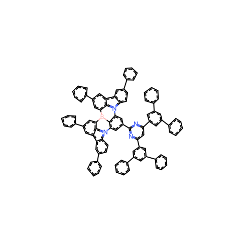 c1ccc(-c2cc(-c3ccccc3)cc(-c3cc(-c4cc(-c5ccccc5)cc(-c5ccccc5)c4)nc(-c4cc5c6c(c4)-n4c7ccc(-c8ccccc8)cc7c7cc(-c8ccccc8)cc(c74)B6c4cc(-c6ccccc6)cc6c7cc(-c8ccccc8)ccc7n-5c46)n3)c2)cc1